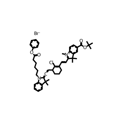 C[N+]1=C(/C=C/C2=C(Cl)C(C=C=C3N(CCCCCC(=O)Oc4ccccc4)c4ccccc4C3(C)C)CCC2)C(C)(C)c2cc(C(=O)OC(C)(C)C)ccc21.[Br-]